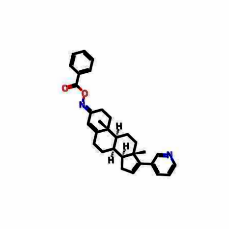 C[C@]12CCC(=NOC(=O)c3ccccc3)C=C1CC[C@H]1[C@@H]2CC[C@]2(C)C(c3cccnc3)=CC[C@@H]12